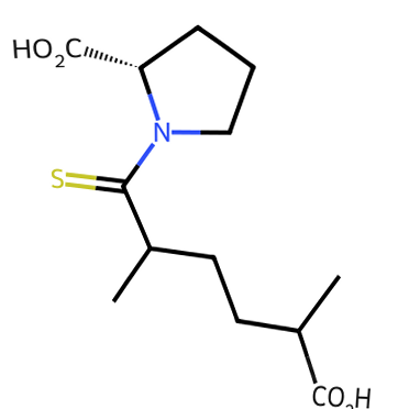 CC(CCC(C)C(=S)N1CCC[C@H]1C(=O)O)C(=O)O